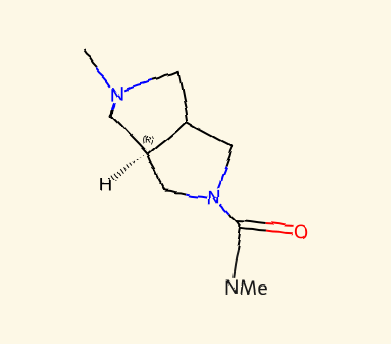 CNC(=O)N1CC2CN(C)C[C@@H]2C1